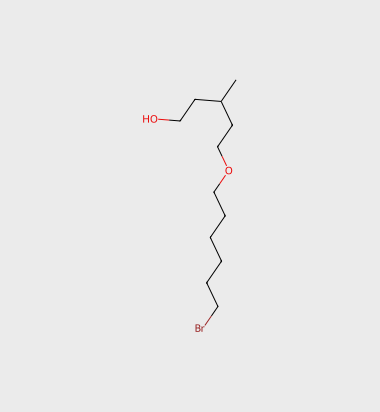 CC(CCO)CCOCCCCCCBr